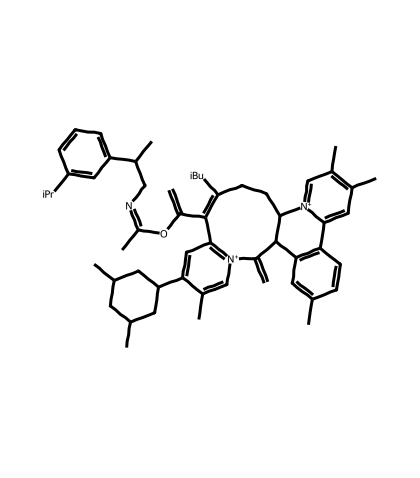 C=C(O/C(C)=N\CC(C)c1cccc(C(C)C)c1)/C1=C(\C(C)CC)CCC2C(C(=C)[n+]3cc(C)c(C4CC(C)CC(C)C4)cc31)c1cc(C)ccc1-c1cc(C)c(C)c[n+]12